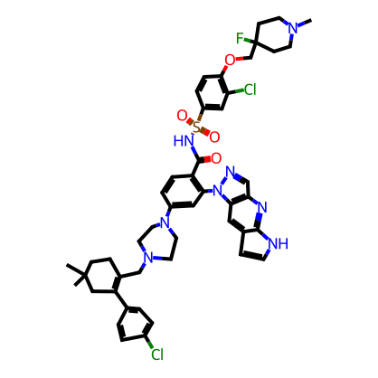 CN1CCC(F)(COc2ccc(S(=O)(=O)NC(=O)c3ccc(N4CCN(CC5=C(c6ccc(Cl)cc6)CC(C)(C)CC5)CC4)cc3-n3ncc4nc5[nH]ccc5cc43)cc2Cl)CC1